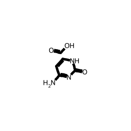 Nc1cc[nH]c(=O)n1.O=CO